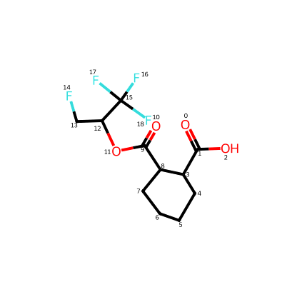 O=C(O)C1CCCCC1C(=O)OC(CF)C(F)(F)F